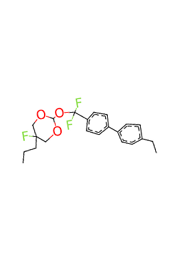 CCCC1(F)COC(OC(F)(F)c2ccc(-c3ccc(CC)cc3)cc2)OC1